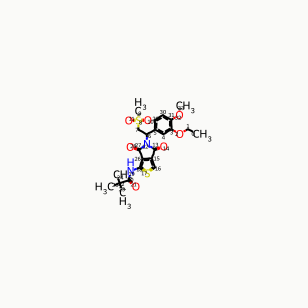 CCOc1cc(C(CS(C)(=O)=O)N2C(=O)c3csc(NC(=O)C(C)(C)C)c3C2=O)ccc1OC